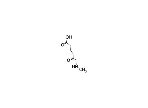 CNCC(=O)C/C=C/C(=O)O